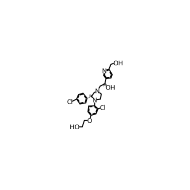 OCCOc1ccc(N2CCN(C[C@@H](O)c3ccc(CO)nc3)C[C@H]2c2ccc(Cl)cc2)c(Cl)c1